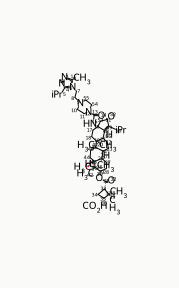 Cc1nnc(C(C)C)n1CCN1CCN(C(=O)N[C@@]23CC[C@]4(C)[C@H](CC[C@@H]5[C@@]6(C)CC[C@H](OC(=O)[C@H]7C[C@@H](C(=O)O)C7(C)C)C(C)(C)[C@@H]6CC[C@]54C)C2=C(C(C)C)C(=O)C3)CC1